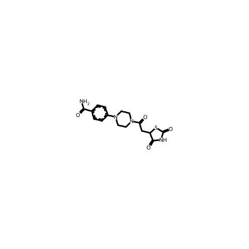 NC(=O)c1ccc(N2CCN(C(=O)CC3SC(=O)NC3=O)CC2)cc1